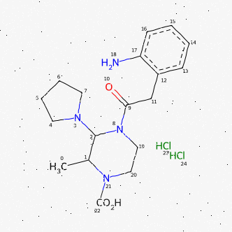 CC1C(N2CCCC2)N(C(=O)Cc2ccccc2N)CCN1C(=O)O.Cl.Cl